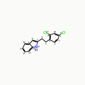 Clc1ccc(CCc2cc3ccccc3[nH]2)c(Cl)c1